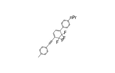 CCCc1ccc(C2=CC=C(C#Cc3ccc(C)cc3)C(F)(F)C2(F)F)cc1